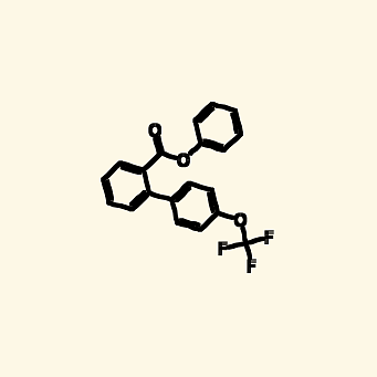 O=C(Oc1ccccc1)c1ccccc1-c1ccc(OC(F)(F)F)cc1